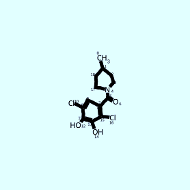 CC1CCN(C(=O)c2cc(Cl)c(O)c(O)c2Cl)CC1